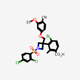 CCOc1cc(OCC2(c3c(Br)ccc(C(=O)O)c3C)CN(S(=O)(=O)c3ccc(Cl)cc3Cl)C2)ccc1C#N